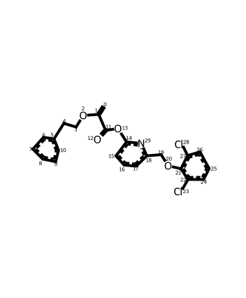 C=C(OCCc1ccccc1)C(=O)Oc1cccc(COc2c(Cl)cccc2Cl)n1